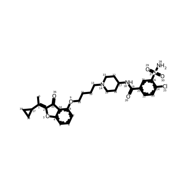 CC(=C1Oc2cccc(OCCCCN3CCC(NC(=O)c4ccc(Cl)c(S(N)(=O)=O)c4)CC3)c2C1=O)C1CC1